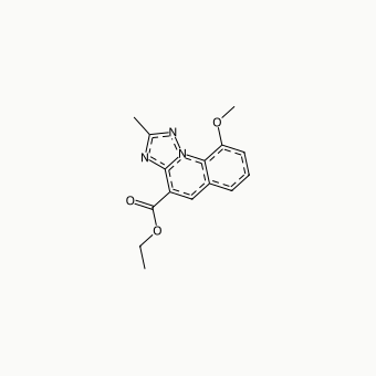 CCOC(=O)c1cc2cccc(OC)c2n2nc(C)nc12